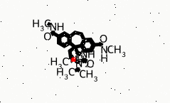 CNC(=O)c1ccc2c(c1)CCc1cc(C(=O)NC)ccc1C2(C[C@@H](C)N)c1nn(C(C)C)c(=O)[nH]1